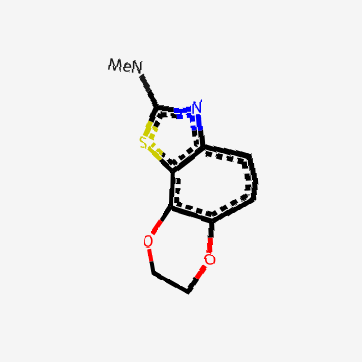 CNc1nc2ccc3c(c2s1)OCCO3